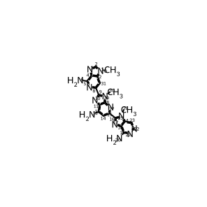 Cn1cnc2c(N)nc(-c3nc4c(N)cc(-c5nc6c(N)nncc6n5C)nc4n3C)cc21